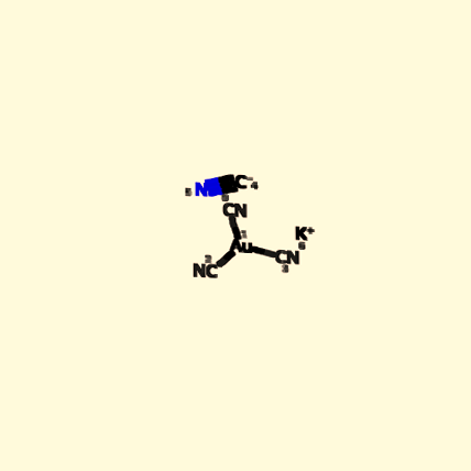 N#[C][Au]([C]#N)[C]#N.[C-]#N.[K+]